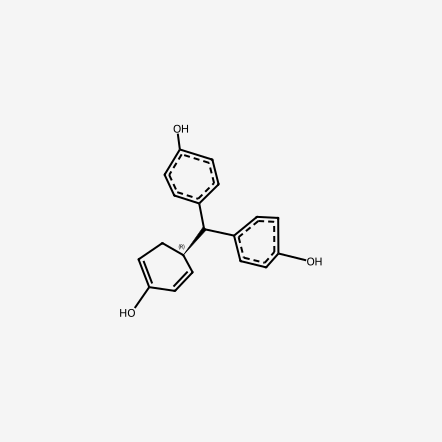 OC1=CC[C@@H](C(c2ccc(O)cc2)c2ccc(O)cc2)C=C1